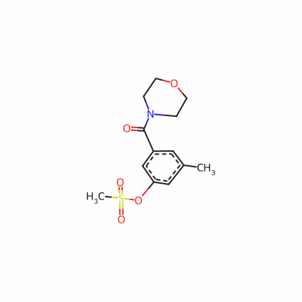 Cc1cc(OS(C)(=O)=O)cc(C(=O)N2CCOCC2)c1